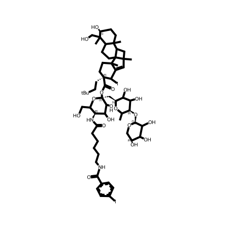 CC1O[C@@H](C[C@@]2(OC(=O)[C@@]3(CCC(C)(C)C)CCC4(C)C(=CC5(C)CC6C7(C)CC[C@H](O)C(C)(CO)C7CCC654)C3I)OC(CO)[C@H](NC(=O)CCCCCNC(=O)c3ccc(I)cc3)C(O)C2O)C(O)C(O)[C@H]1O[C@@H]1OC[C@@H](O)C(O)C1O